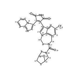 O=C1NC(=O)C(c2cnc3ccccn23)=C1c1cn2c3c(cc(C(F)(F)F)cc13)CN(C(=O)N1CC3CCC(C1)O3)CC2